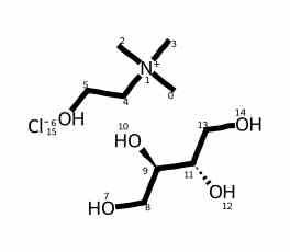 C[N+](C)(C)CCO.OC[C@@H](O)[C@@H](O)CO.[Cl-]